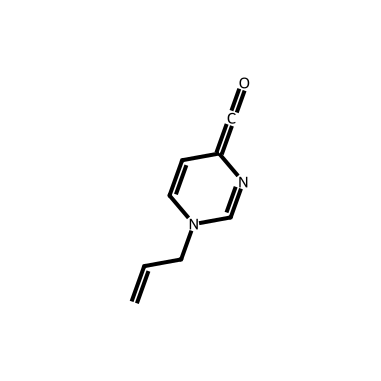 C=CCN1C=CC(=C=O)N=C1